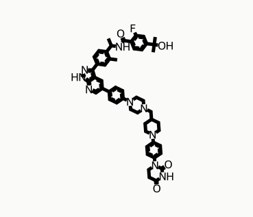 Cc1cc(-c2n[nH]c3ncc(-c4ccc(N5CCN(CC6CCN(c7ccc(N8CCC(=O)NC8=O)cc7)CC6)CC5)cc4)cc23)ccc1C(C)NC(=O)c1ccc(C(C)(C)O)cc1F